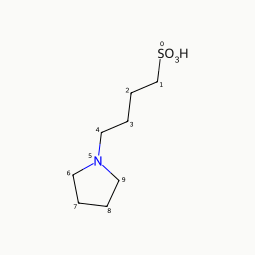 O=S(=O)(O)CCCCN1CCCC1